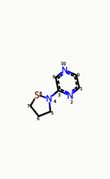 c1cnc(N2CCCS2)cn1